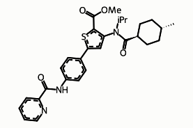 COC(=O)c1sc(-c2ccc(NC(=O)c3ccccn3)cc2)cc1N(C(=O)[C@H]1CC[C@H](C)CC1)C(C)C